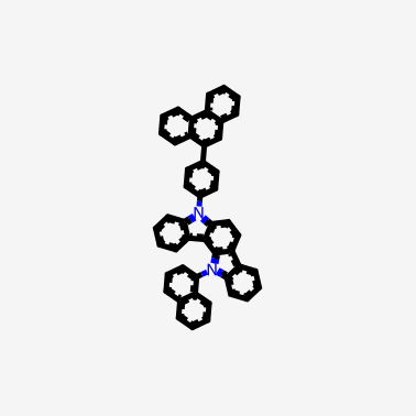 c1ccc2c(-n3c4ccccc4c4ccc5c(c6ccccc6n5-c5ccc(-c6cc7ccccc7c7ccccc67)cc5)c43)cccc2c1